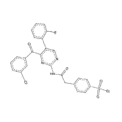 CCS(=O)(=O)c1ccc(CC(=O)Nc2ncc(-c3ccccc3F)c(C(=O)c3cccc(Cl)c3)n2)cc1